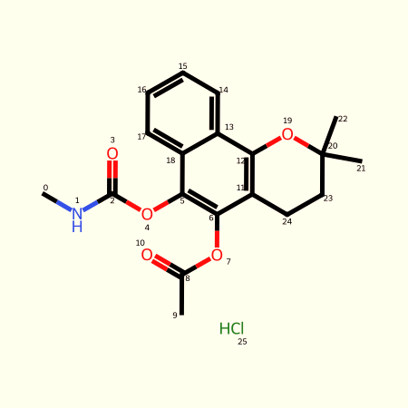 CNC(=O)Oc1c(OC(C)=O)c2c(c3ccccc13)OC(C)(C)CC2.Cl